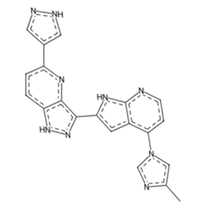 Cc1cn(-c2ccnc3[nH]c(-c4n[nH]c5ccc(-c6cn[nH]c6)nc45)cc23)cn1